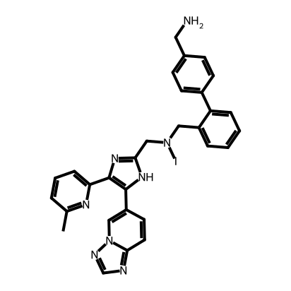 Cc1cccc(-c2nc(CN(I)Cc3ccccc3-c3ccc(CN)cc3)[nH]c2-c2ccc3ncnn3c2)n1